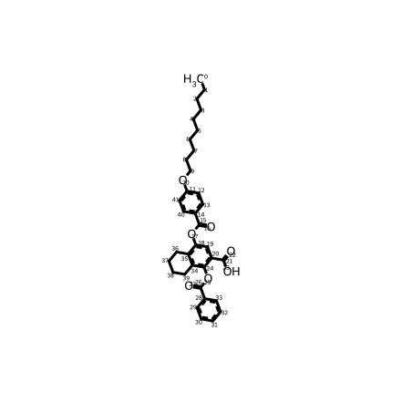 CCCCCCCCCCOc1ccc(C(=O)Oc2cc(C(=O)O)c(OC(=O)c3ccccc3)c3c2CCCC3)cc1